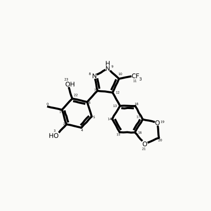 Cc1c(O)ccc(-c2n[nH]c(C(F)(F)F)c2-c2ccc3c(c2)OCO3)c1O